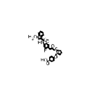 Cn1cc(C(=O)Nc2cc(F)c(CC(=O)CSN3CCC[C@H]3CO[C@H]3CC[C@H](C(=O)O)CC3)cc2Cl)c2ccccc21